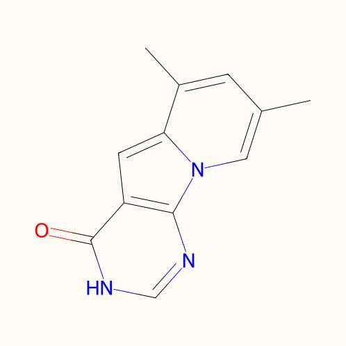 Cc1cc(C)c2cc3c(=O)[nH]cnc3n2c1